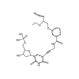 CCOC(COc1cccc(C(=O)NCC#Cc2cn(C3CC(O)C(COP(=O)(O)O)O3)c(=O)[nH]c2=O)c1)N=[N+]=[N-]